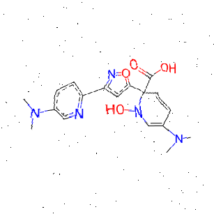 CN(C)C1=CN(O)C(C(=O)O)(c2cc(-c3ccc(N(C)C)cn3)no2)C=C1